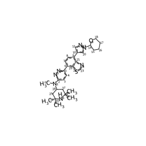 CN(c1ccc(-c2ccc(-c3cnn(C4CCCCO4)c3)c3ncsc23)nn1)C1CC(C)(C)NC(C)(C)C1